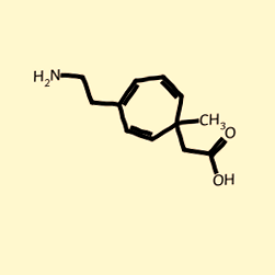 CC1(CC(=O)O)C=CC=C(CCN)C=C1